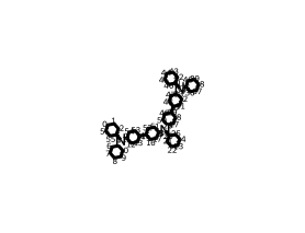 C1CCC(N(C2CCCCC2)C2CCC(C3CCC(N(C4CCCCC4)C4CCC(C5CCC(N(C6CCCCC6)C6CCCCC6)CC5)CC4)CC3)CC2)CC1